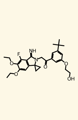 CCOc1cc2c(c(F)c1OCC)C(=N)N(CC(=O)c1cc(OCCO)cc(C(C)(C)C)c1)C21CC1